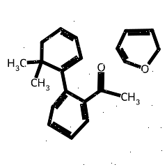 C1=CCOC=C1.CC(=O)c1ccccc1C1=CC=CCC1(C)C